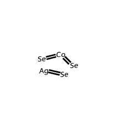 [Se]=[Ag].[Se]=[Co]=[Se]